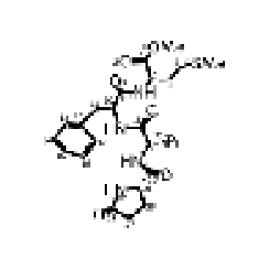 COC(=O)[C@H](CCSC)NC(=O)[C@H](Cc1ccccc1)NC(=O)[C@@H](NC(=O)[C@@H]1CCC(=O)N1)C(C)C